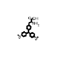 CN(C)c1ccc(C(=C2C=CC(=[N+](C)C)C=C2)c2ccc(C[C@H](N)C(=O)O)cc2)cc1